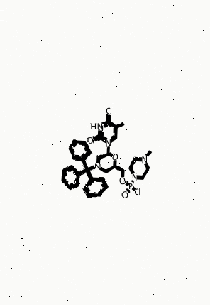 Cc1cn(C2CN(C(c3ccccc3)(c3ccccc3)c3ccccc3)CC(COP(=O)(Cl)N3CCN(C)CC3)O2)c(=O)[nH]c1=O